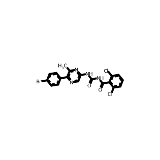 Cc1nc(NC(=O)NC(=O)c2c(Cl)cccc2Cl)cnc1-c1ccc(Br)cc1